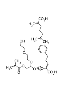 C=C(C)C(=O)OCC(OCC)OCCOCCO.C=C(CCCN(C)C)C(=O)O.CC(=CCCc1ccccc1)C(=O)O